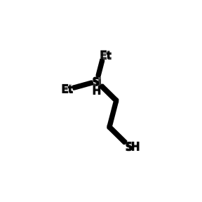 CC[SiH](CC)CCS